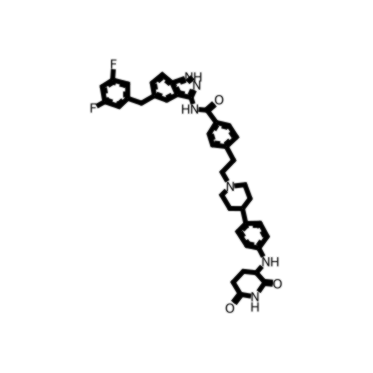 O=C1CCC(Nc2ccc(C3CCN(CCc4ccc(C(=O)Nc5n[nH]c6ccc(Cc7cc(F)cc(F)c7)cc56)cc4)CC3)cc2)C(=O)N1